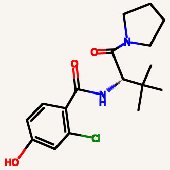 CC(C)(C)[C@H](NC(=O)c1ccc(O)cc1Cl)C(=O)N1CCCC1